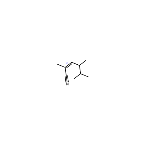 C/C(C#N)=C/C(C)C(C)C